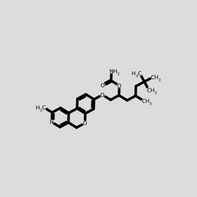 Cc1cc2c(cn1)COc1cc(OCC(CC(C)CC(C)(C)C)OC(N)=O)ccc1-2